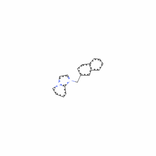 [Br-].c1ccc2cc(Cn3cc[n+]4ccccc34)ccc2c1